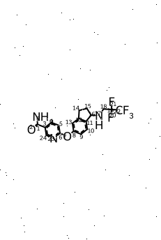 NC(=O)c1ccc(Oc2ccc3c(c2)CCC3NCC(F)(F)C(F)(F)F)nc1